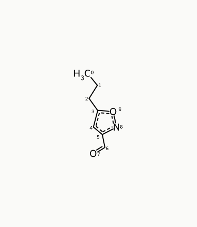 CCCc1cc(C=O)no1